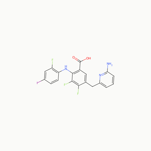 Nc1cccc(Cc2cc(C(=O)O)c(Nc3ccc(I)cc3F)c(F)c2F)n1